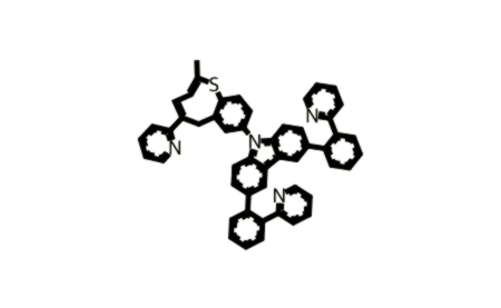 C/C1=C\C=C(\c2ccccn2)Cc2cc(-n3c4ccc(-c5ccccc5-c5ccccn5)cc4c4cc(-c5ccccc5-c5ccccn5)ccc43)ccc2S1